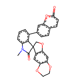 CN1C(=O)C2(COc3cc4c(cc32)OCCO4)c2c(-c3ccc4ccc(=O)oc4c3)cccc21